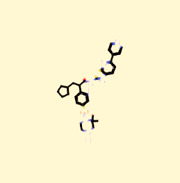 CC1(C)CNCCN1S(=O)(=O)c1ccc(C(CC2CCCC2)C(=O)Nc2nc3ccc(-c4ccncc4)nc3s2)cc1